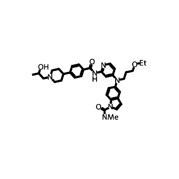 CCOCCCN(c1ccnc(NC(=O)c2ccc(C3CCN(CC(C)O)CC3)cc2)c1)c1ccc2c(ccn2C(=O)NC)c1